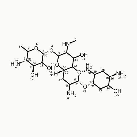 CNC1C(O[C@H]2OC(C)[C@@H](N)[C@H](O)C2O)O[C@H]2CC(N)[C@@H](O[C@H]3CC(O)[C@H](N)CC3N)OC2C1O